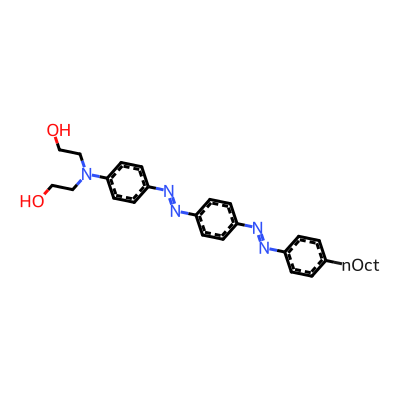 CCCCCCCCc1ccc(N=Nc2ccc(N=Nc3ccc(N(CCO)CCO)cc3)cc2)cc1